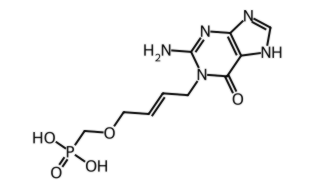 Nc1nc2nc[nH]c2c(=O)n1CC=CCOCP(=O)(O)O